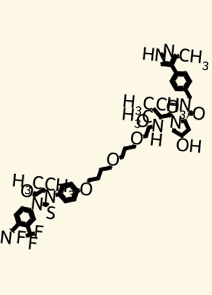 Cc1n[nH]cc1-c1ccc(CNC(=O)[C@@H]2C[C@@H](O)CN2C(=O)[C@@H](NC(=O)COCCCOCCCCOc2ccc(N3C(=S)N(c4ccc(C#N)c(C(F)(F)F)c4)C(=O)C3(C)C)cc2)C(C)(C)C)cc1